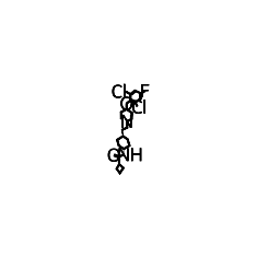 O=C(N[C@H]1CC[C@H](CCN2CCC(Oc3c(Cl)cc(F)cc3Cl)CC2)CC1)C1CCC1